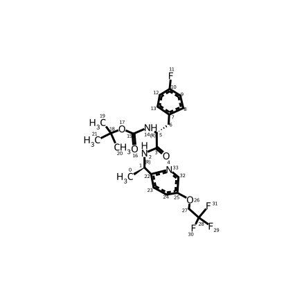 C[C@@H](NC(=O)[C@@H](Cc1ccc(F)cc1)NC(=O)OC(C)(C)C)c1ccc(OCC(F)(F)F)cn1